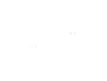 NC(=S)c1cccc(N)c1